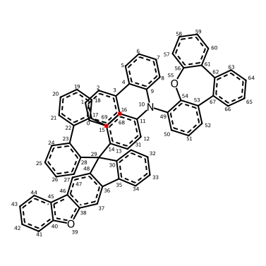 c1ccc(-c2ccccc2N(c2ccc3c(c2)-c2ccccc2-c2ccccc2C32c3ccccc3-c3cc4oc5ccccc5c4cc32)c2cccc3c2Oc2ccccc2-c2ccccc2-3)cc1